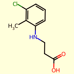 Cc1c(Cl)cccc1NCCC(=O)O